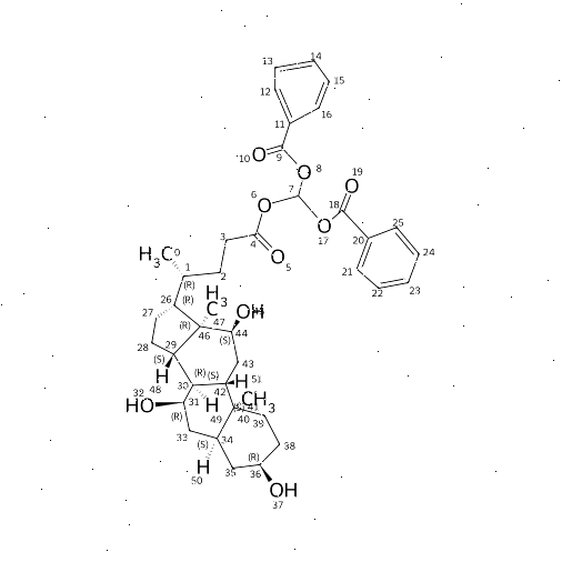 C[C@H](CCC(=O)OC(OC(=O)c1ccccc1)OC(=O)c1ccccc1)[C@H]1CC[C@H]2[C@@H]3[C@H](O)C[C@@H]4C[C@H](O)CC[C@]4(C)[C@H]3C[C@H](O)[C@]12C